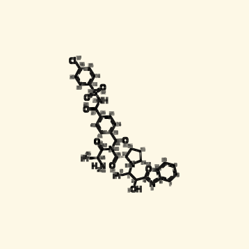 CC(C)C(C(O)c1nc2ccccc2o1)N1CCC[C@H]1C(=O)N(C(=O)c1ccc(C(=O)NS(=O)(=O)c2ccc(Cl)cc2)cc1)C(=O)[C@@H](N)C(C)C